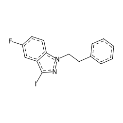 Fc1ccc2c(c1)c(I)nn2CCc1ccccc1